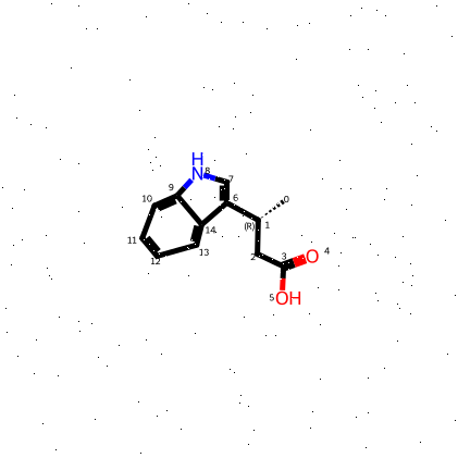 C[C@H](CC(=O)O)c1c[nH]c2ccccc12